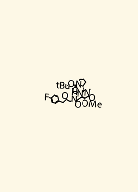 COc1c(C(=O)NCC(=O)Cc2ccc(F)cc2)nc([C@@H]2CCCN2C(=O)OC(C)(C)C)n(C)c1=O